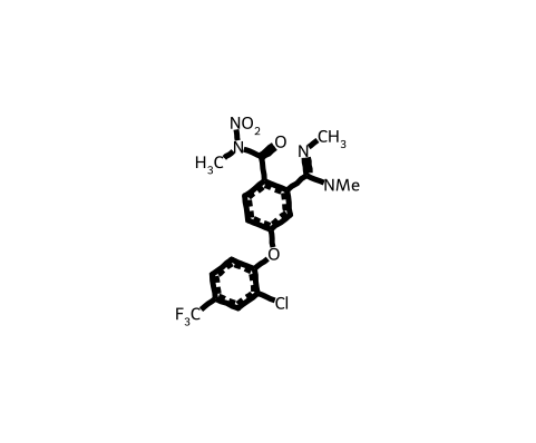 CN=C(NC)c1cc(Oc2ccc(C(F)(F)F)cc2Cl)ccc1C(=O)N(C)[N+](=O)[O-]